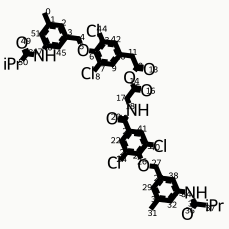 Cc1cc(COc2c(Cl)cc(CC(=O)OC(=O)CNC(=O)c3cc(Cl)c(OCc4cc(C)cc(NC(=O)C(C)C)c4)c(Cl)c3)cc2Cl)cc(NC(=O)C(C)C)c1